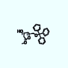 CO[C@@H]1C[C@H](O)C[C@@H](COC(c2ccccc2)(c2ccccc2)c2ccccc2)O1